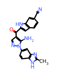 Cc1nc2cc(-n3ncc(C(=O)c4cc5ccc(C#N)cc5[nH]4)c3N)ccc2[nH]1